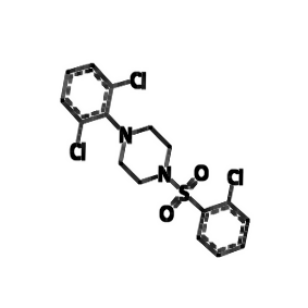 O=S(=O)(c1ccccc1Cl)N1CCN(c2c(Cl)cccc2Cl)CC1